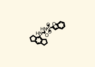 O=C(Nc1c2c(cc3c1CCC3)CCC2)NS(=O)(=O)c1cc2ccccc2o1